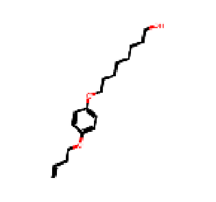 C=CCCOc1ccc(OCCCCCCCCO)cc1